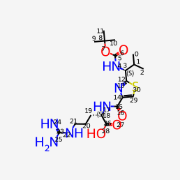 CC(C)[C@H](NC(=O)OC(C)(C)C)c1nc(C(=O)N[C@@H](CCCNC(=N)N)C(=O)O)cs1